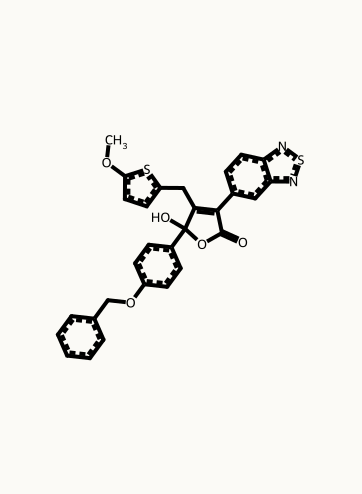 COc1ccc(CC2=C(c3ccc4nsnc4c3)C(=O)OC2(O)c2ccc(OCc3ccccc3)cc2)s1